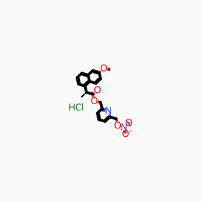 COc1ccc2c([C@H](C)C(=O)OCc3cccc(CO[N+](=O)[O-])n3)cccc2c1.Cl